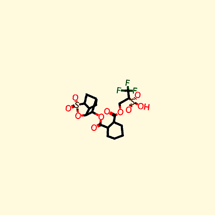 O=C(OCC(C(F)(F)F)S(=O)(=O)O)C1CCCCC1C(=O)OC1C2CC3C1OS(=O)(=O)C3C2